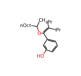 CCCCCCCCC(C)OC(=C(C(C)C)C(C)C)c1cccc(O)c1